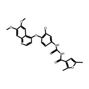 COc1cc2nccc(Oc3ccc(NC(=S)NC(=O)c4cc(C)oc4C)cc3Cl)c2cc1OC